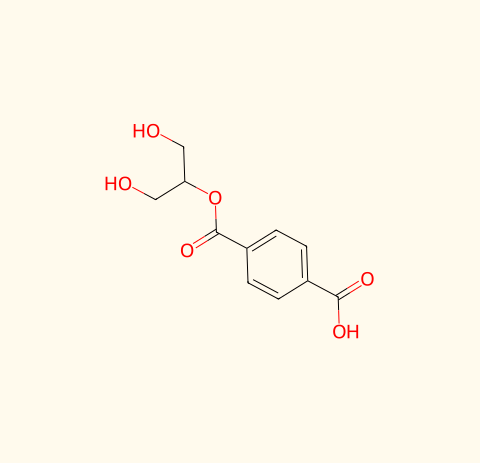 O=C(O)c1ccc(C(=O)OC(CO)CO)cc1